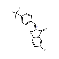 O=C1/C(=C/c2ccc(C(F)(F)F)cc2)Oc2ccc(Br)cc21